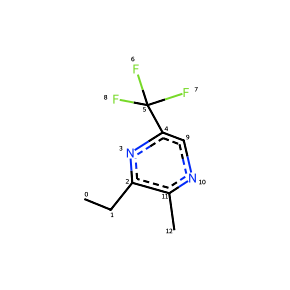 CCc1nc(C(F)(F)F)cnc1C